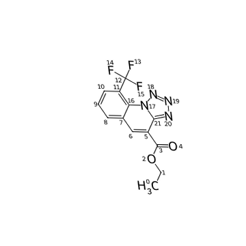 CCOC(=O)c1cc2cccc(C(F)(F)F)c2n2nnnc12